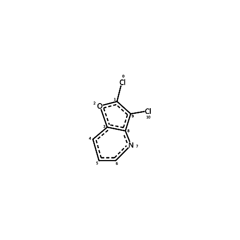 Clc1oc2cccnc2c1Cl